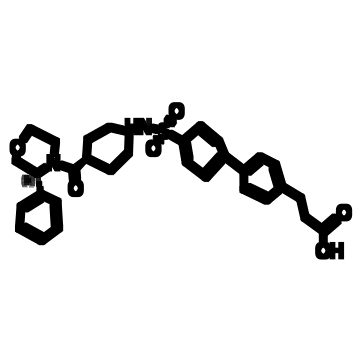 O=C(O)CCc1ccc(-c2ccc(S(=O)(=O)N[C@H]3CC[C@H](C(=O)N4CCOC[C@H]4c4ccccc4)CC3)cc2)cc1